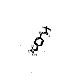 O=C(Nc1ccc(CP(=O)(O)O)cc1)C(F)(F)F